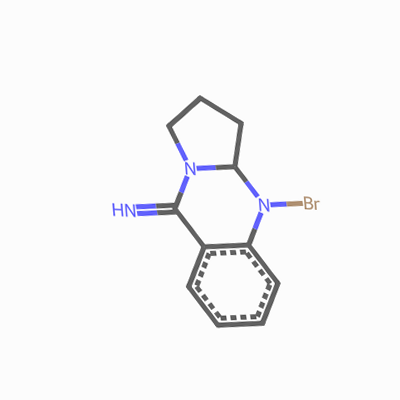 N=C1c2ccccc2N(Br)C2CCCN12